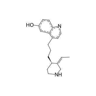 CC=C1CNCC[C@H]1CCCc1ccnc2ccc(O)cc12